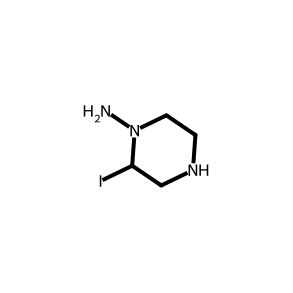 NN1CCNCC1I